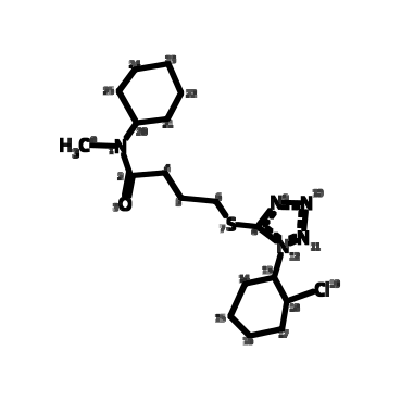 CN(C(=O)CCCSc1nnnn1C1CCCCC1Cl)C1CCCCC1